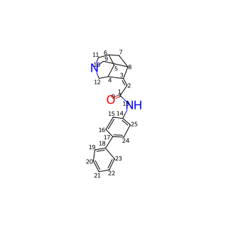 O=C(C=C1C2CC3CC1CN(C3)C2)Nc1ccc(-c2ccccc2)cc1